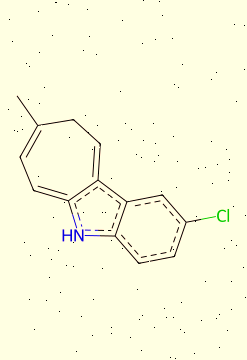 CC1=CC=c2[nH]c3ccc(Cl)cc3c2=CC1